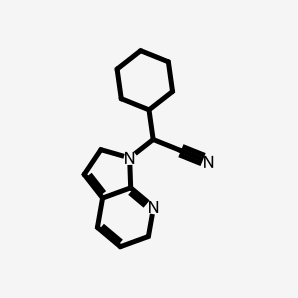 N#CC(C1CCCCC1)N1CC=C2C=CCN=C21